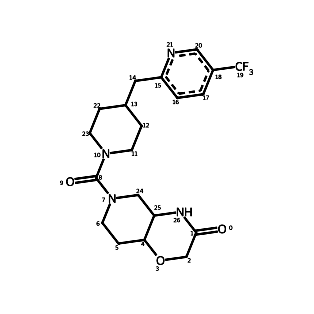 O=C1COC2CCN(C(=O)N3CCC(Cc4ccc(C(F)(F)F)cn4)CC3)CC2N1